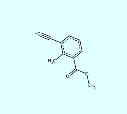 C#Cc1cccc(C(=O)OC)c1C